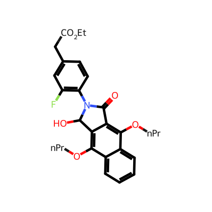 CCCOc1c2c(c(OCCC)c3ccccc13)C(O)N(c1ccc(CC(=O)OCC)cc1F)C2=O